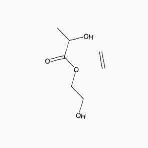 C=C.CC(O)C(=O)OCCO